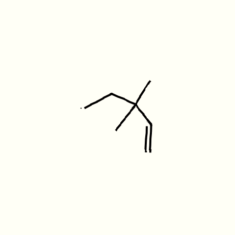 [CH2]CC(C)(C)C=C